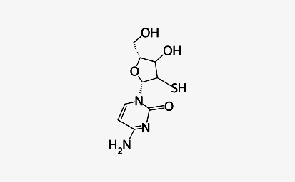 Nc1ccn([C@@H]2O[C@H](CO)C(O)C2S)c(=O)n1